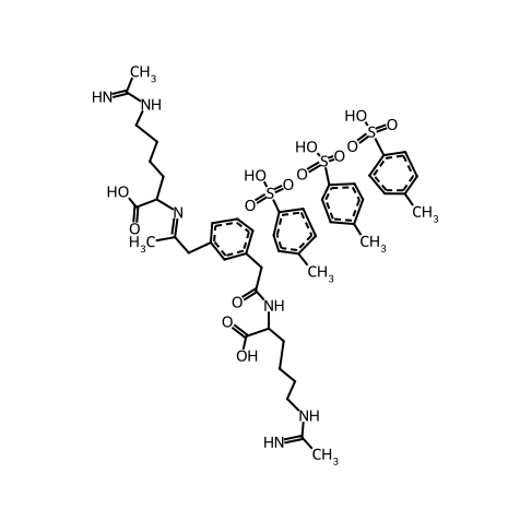 CC(=N)NCCCCC(N=C(C)Cc1cccc(CC(=O)NC(CCCCNC(C)=N)C(=O)O)c1)C(=O)O.Cc1ccc(S(=O)(=O)O)cc1.Cc1ccc(S(=O)(=O)O)cc1.Cc1ccc(S(=O)(=O)O)cc1